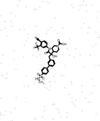 CNS(=O)(=O)c1ccc(-c2cccc(CC(O)(C(=O)Nc3ccc(C#N)c(C(F)(F)F)c3)C3CCN(C(=O)O)CC3)c2)cc1